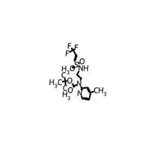 Cc1ccnc(N(CCNS(=O)(=O)/C=C/C(F)(F)F)C(=O)OC(C)(C)C)c1